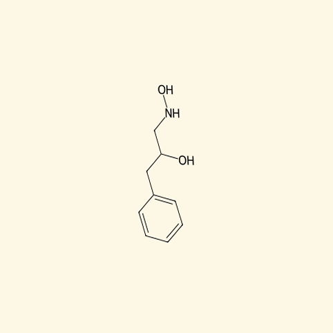 ONCC(O)Cc1ccccc1